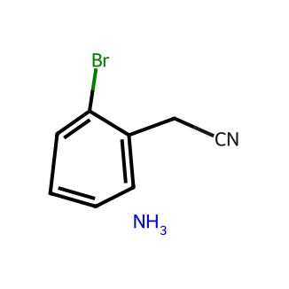 N.N#CCc1ccccc1Br